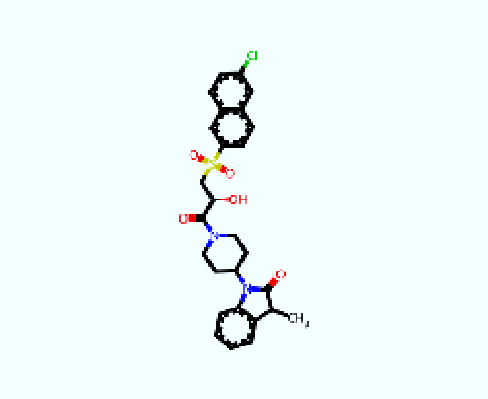 CC1C(=O)N(C2CCN(C(=O)[C@H](O)CS(=O)(=O)c3ccc4cc(Cl)ccc4c3)CC2)c2ccccc21